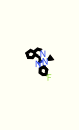 Fc1ccc2nc(-c3nccc4ccccc34)n(C3CC3)c2c1